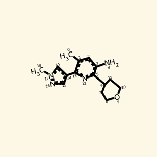 Cc1cc(N)c(C2CCOCC2)nc1-c1cnn(C)c1